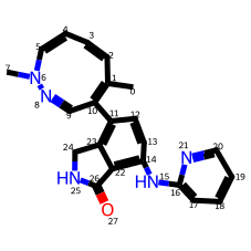 Cc1ccccn(C)ncc1-c1ccc(Nc2ccccn2)c2c1CNC2=O